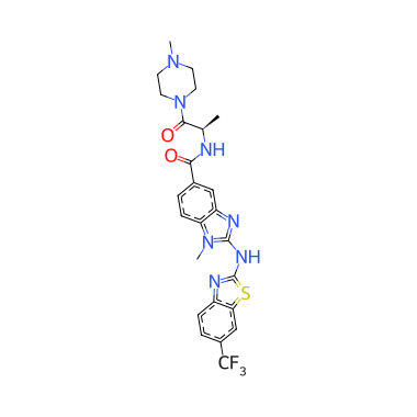 C[C@@H](NC(=O)c1ccc2c(c1)nc(Nc1nc3ccc(C(F)(F)F)cc3s1)n2C)C(=O)N1CCN(C)CC1